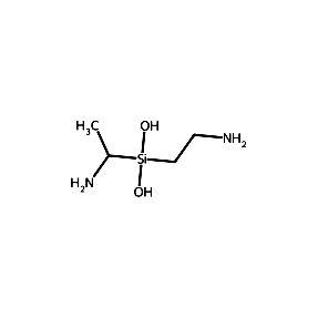 CC(N)[Si](O)(O)CCN